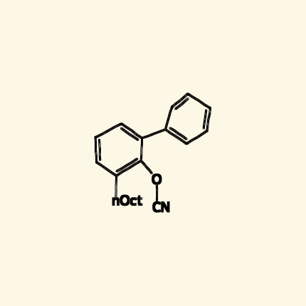 CCCCCCCCc1cccc(-c2ccccc2)c1OC#N